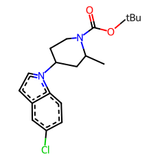 CC1CC(n2ccc3cc(Cl)ccc32)CCN1C(=O)OC(C)(C)C